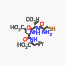 CC(C)C[C@H](NC(=O)[C@H](CCC(=O)O)NC(=O)[C@H](CCC(=O)O)NC(=O)[C@@H](N)CS)C(=O)O